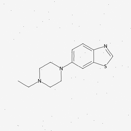 CCN1CCN(c2ccc3ncsc3c2)CC1